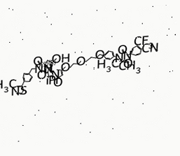 Cc1ncsc1-c1ccc(CNC(=O)[C@@H]2C[C@@H](O)CN2C(=O)C(C(C)C)N2CC(OCCCOCCCOc3ccc(N4C(=O)N(c5ccc(C#N)c(C(F)(F)F)c5)C(=O)C4(C)C)cc3)=CC2=O)cc1